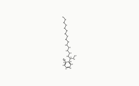 CCCCCCCCCCCCCCCC(CC)c1ccccc1[S]